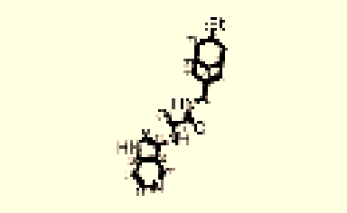 CCC1CC2C=C(CNC(=O)C(=O)Nc3c[nH]c4ccncc34)CC(C2)C1